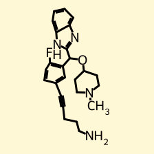 CN1CCC(OC(c2nc3ccccc3[nH]2)c2cc(C#CCCCN)ccc2F)CC1